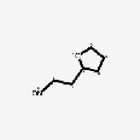 O=NCCC1CCCO1